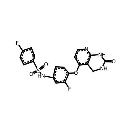 O=C1NCc2c(Oc3ccc(NS(=O)(=O)c4ccc(F)cc4)cc3F)ccnc2N1